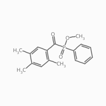 COP(=O)(C(=O)c1cc(C)c(C)cc1C)c1ccccc1